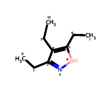 CCC1=NBC(CC)=C1CC